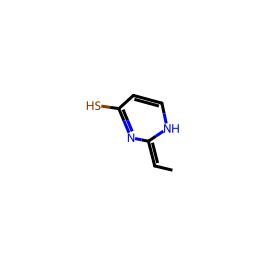 C/C=C1/N=C(S)C=CN1